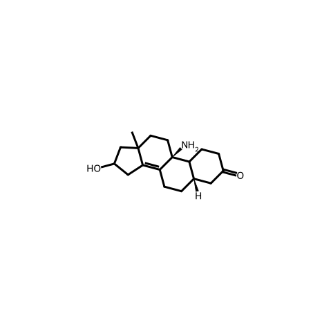 CC12CC[C@@]3(N)C(=C1CC(O)C2)CC[C@H]1CC(=O)CCC13